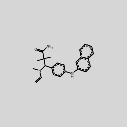 C=CN(C)C(c1ccc(Nc2ccc3ccccc3c2)cc1)C(C)(C)C(N)=O